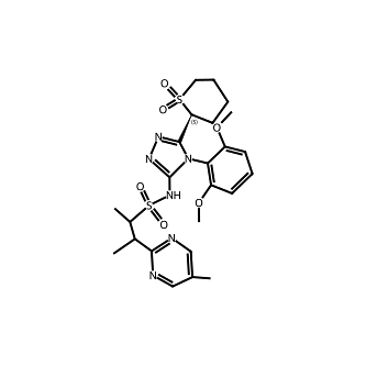 COc1cccc(OC)c1-n1c(NS(=O)(=O)C(C)C(C)c2ncc(C)cn2)nnc1[C@@H]1CCCCS1(=O)=O